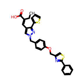 CCC(=Cc1cn(Cc2ccc(OCc3csc(-c4ccccc4)n3)cc2)nc1-c1cccs1)C(=O)O